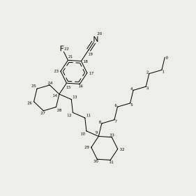 CCCCCCCCCC1(CCCCC2(c3ccc(C#N)c(F)c3)CCCCC2)CCCCC1